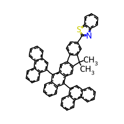 CC1(C)c2cc(-c3nc4ccccc4s3)ccc2-c2cc3c(-c4cc5ccccc5c5ccccc45)c4ccccc4c(-c4cc5ccccc5c5ccccc45)c3cc21